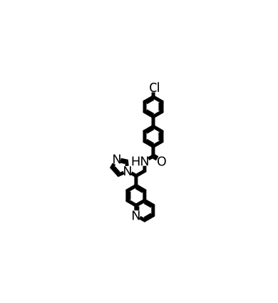 O=C(NCC(c1ccc2ncccc2c1)n1ccnc1)c1ccc(-c2ccc(Cl)cc2)cc1